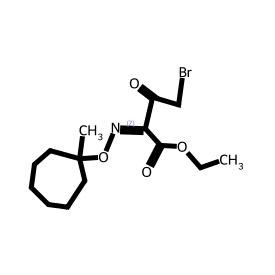 CCOC(=O)/C(=N\OC1(C)CCCCCC1)C(=O)CBr